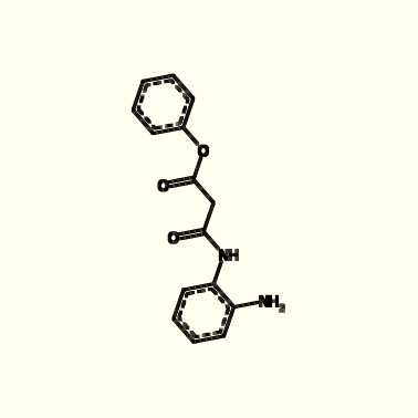 Nc1ccccc1NC(=O)CC(=O)Oc1ccccc1